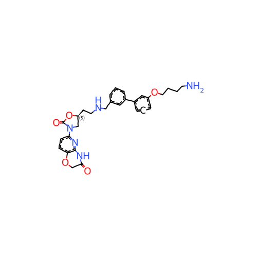 NCCCCOc1cccc(-c2cccc(CNCC[C@H]3CN(c4ccc5c(n4)NC(=O)CO5)C(=O)O3)c2)c1